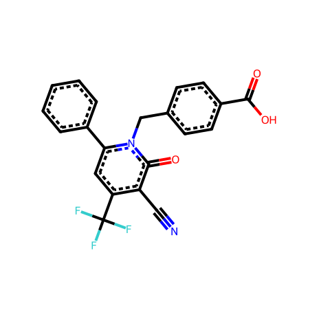 N#Cc1c(C(F)(F)F)cc(-c2ccccc2)n(Cc2ccc(C(=O)O)cc2)c1=O